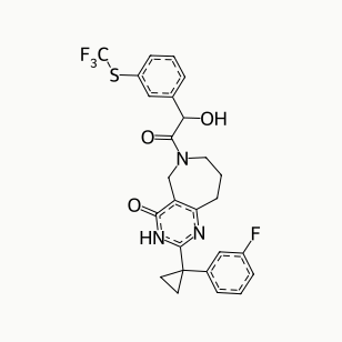 O=C(C(O)c1cccc(SC(F)(F)F)c1)N1CCCc2nc(C3(c4cccc(F)c4)CC3)[nH]c(=O)c2C1